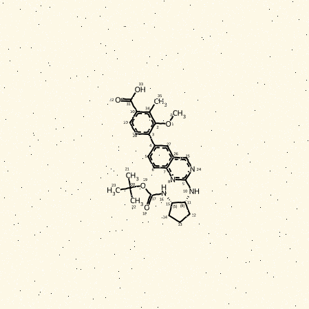 COc1c(-c2ccc3nc(N[C@@H]4CCC[C@@H]4NC(=O)OC(C)(C)C)ncc3c2)ccc(C(=O)O)c1C